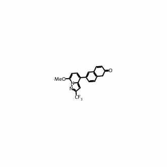 COc1ccc(-c2ccc3c(c2)C=CC(=O)C3)c2cc(C(F)(F)F)nn12